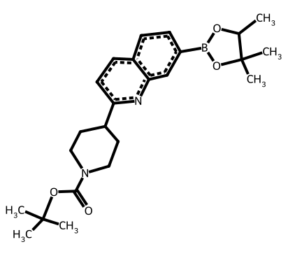 CC1OB(c2ccc3ccc(C4CCN(C(=O)OC(C)(C)C)CC4)nc3c2)OC1(C)C